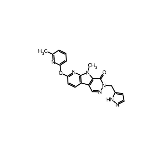 Cc1cccc(Oc2ccc3c4cnn(Cc5ccn[nH]5)c(=O)c4n(C)c3n2)n1